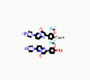 COc1ccc(-c2cc(=O)n3cc(N4CCNCC4)ccc3n2)cc1OC(F)F.O=c1cc(-c2ccc(O)c(OC(F)F)c2)nc2ccc(N3CCNCC3)cn12